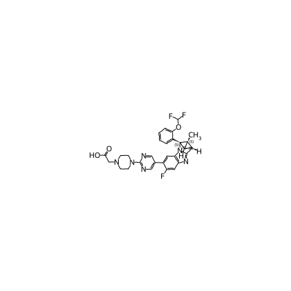 C[C@]12[C@@H]3c4nc5cc(F)c(-c6cnc(N7CCN(CC(=O)O)CC7)nc6)cc5n4[C@@]1(c1ccccc1OC(F)F)[C@@H]32